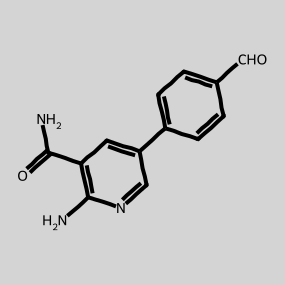 NC(=O)c1cc(-c2ccc(C=O)cc2)cnc1N